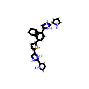 c1nc(C2CCCN2)[nH]c1-c1ccc(-c2ccc(-c3cnc([C@@H]4CCCN4)[nH]3)c3c2C2CCC3C2)s1